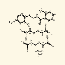 O=C(NCCc1ncc(C(F)(F)F)cc1Cl)c1ccccc1C(F)(F)F.S=C([S-])NCCNC(=S)[S-].S=C([S-])NCCNC(=S)[S-].[Mn+2].[Zn+2]